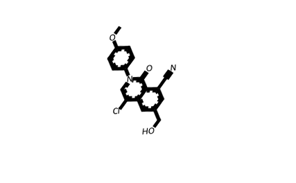 COc1ccc(-n2cc(Cl)c3cc(CO)cc(C#N)c3c2=O)cc1